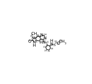 CCn1c(=O)[nH]c2cc3c(NCc4ccccc4NCCOC)ncnc3cc21